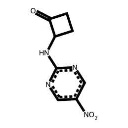 O=C1CCC1Nc1ncc([N+](=O)[O-])cn1